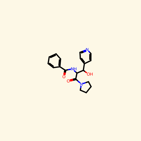 O=C(NC(C(=O)N1CCCC1)C(O)c1ccncc1)c1ccccc1